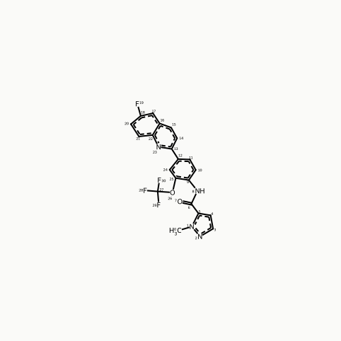 Cn1nccc1C(=O)Nc1ccc(-c2ccc3cc(F)ccc3n2)cc1OC(F)(F)F